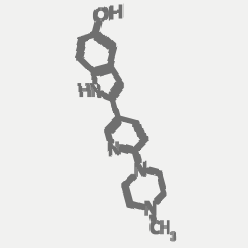 CN1CCN(c2ccc(-c3cc4cc(O)ccc4[nH]3)cn2)CC1